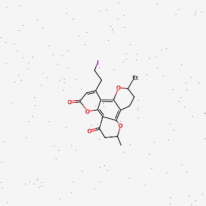 CCC1CCc2c3c(c4oc(=O)cc(CCI)c4c2O1)C(=O)CC(C)O3